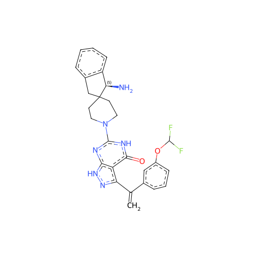 C=C(c1cccc(OC(F)F)c1)c1n[nH]c2nc(N3CCC4(CC3)Cc3ccccc3[C@H]4N)[nH]c(=O)c12